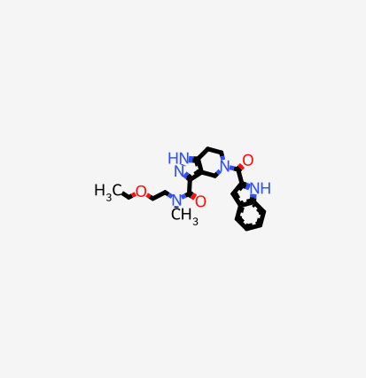 CCOCCN(C)C(=O)c1n[nH]c2c1CN(C(=O)c1cc3ccccc3[nH]1)CC2